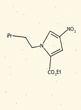 CCOC(=O)c1cc([N+](=O)[O-])cn1CCC(C)C